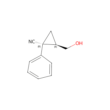 N#C[C@]1(c2ccccc2)C[C@H]1CO